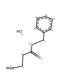 CNCCC(=O)OCc1ccccc1.Cl